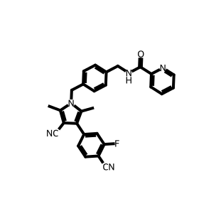 Cc1c(C#N)c(-c2ccc(C#N)c(F)c2)c(C)n1Cc1ccc(CNC(=O)c2ccccn2)cc1